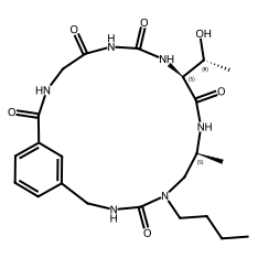 CCCCN1C[C@H](C)NC(=O)[C@H]([C@@H](C)O)NC(=O)NC(=O)CNC(=O)c2cccc(c2)CNC1=O